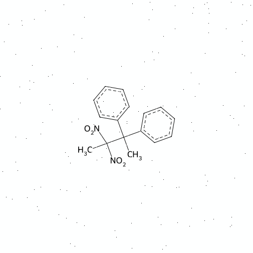 CC(c1ccccc1)(c1ccccc1)C(C)([N+](=O)[O-])[N+](=O)[O-]